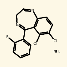 Fc1ccccc1C1=NCC=Nc2ccc(Cl)c(Cl)c21.N